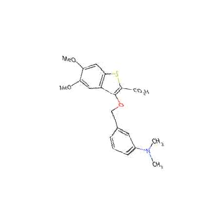 COc1cc2sc(C(=O)O)c(OCc3cccc(N(C)C)c3)c2cc1OC